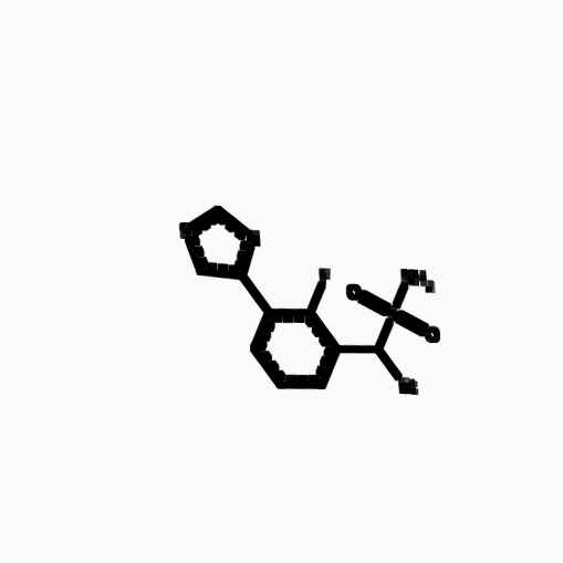 CCC(c1cccc(-c2cscn2)c1F)S(N)(=O)=O